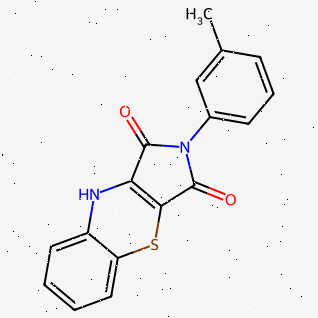 Cc1cccc(-n2c(=O)c3[nH]c4ccccc4sc=3c2=O)c1